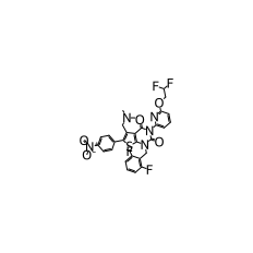 CN(C)Cc1c(-c2ccc([N+](=O)[O-])cc2)sc2c1c(=O)n(-c1cccc(OCC(F)F)n1)c(=O)n2Cc1c(F)cccc1F